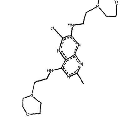 Cc1nc(NCCN2CCOCC2)c2nc(Cl)c(NCCN3CCOCC3)nc2n1